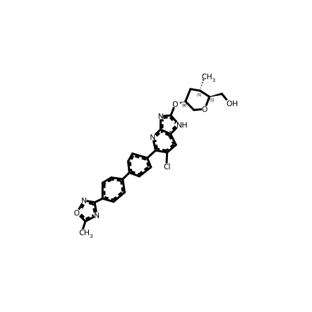 Cc1nc(-c2ccc(-c3ccc(-c4nc5nc(O[C@H]6CO[C@H](CO)[C@@H](C)C6)[nH]c5cc4Cl)cc3)cc2)no1